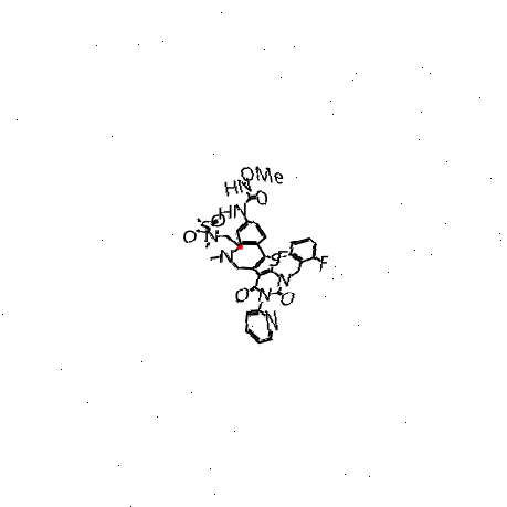 CONC(=O)Nc1ccc(-c2sc3c(c2CN(C)CCN(C)S(C)(=O)=O)c(=O)n(-c2ccccn2)c(=O)n3Cc2c(F)cccc2F)cc1